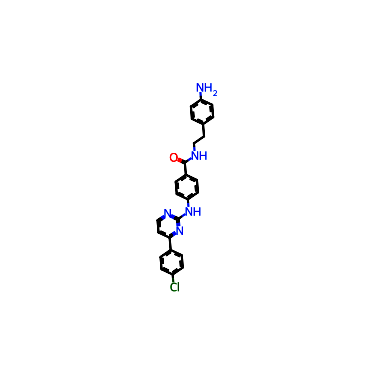 Nc1ccc(CCNC(=O)c2ccc(Nc3nccc(-c4ccc(Cl)cc4)n3)cc2)cc1